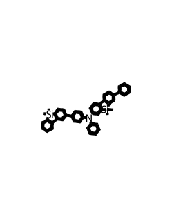 C[Si]1(C)c2ccccc2-c2cc(-c3ccc(N(c4ccccc4)c4ccc5c(c4)[Si](C)(C)c4cc(-c6ccccc6)ccc4-5)cc3)ccc21